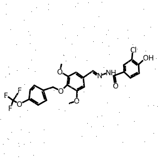 COc1cc(/C=N/NC(=O)c2ccc(O)c(Cl)c2)cc(OC)c1OCc1ccc(OC(F)(F)F)cc1